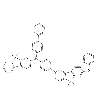 CC1(C)c2ccccc2-c2ccc(N(c3ccc(-c4ccccc4)cc3)c3ccc(-c4ccc5c(c4)-c4cc6c(cc4C5(C)C)oc4ccccc46)cc3)cc21